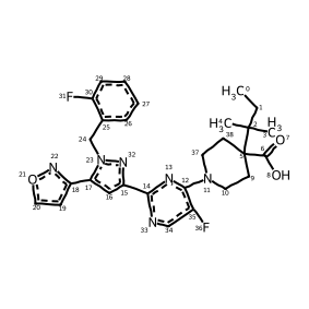 CCC(C)(C)C1(C(=O)O)CCN(c2nc(-c3cc(-c4ccon4)n(Cc4ccccc4F)n3)ncc2F)CC1